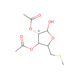 CSCC1OC(O)[C@@H](OC(C)=O)C1OC(C)=O